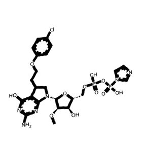 CO[C@@H]1[C@H](O)[C@@H](COP(=O)(O)OP(=O)(O)n2ccnc2)O[C@H]1N1CC(CCOc2ccc(Cl)cc2)c2c(O)nc(N)nc21